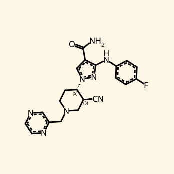 N#C[C@H]1CN(Cc2cnccn2)CC[C@@H]1n1cc(C(N)=O)c(Nc2ccc(F)cc2)n1